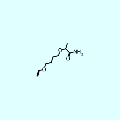 C=COCCCCOC(C)C(N)=O